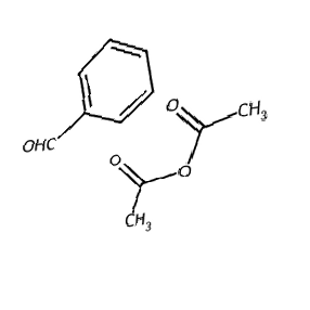 CC(=O)OC(C)=O.O=Cc1ccccc1